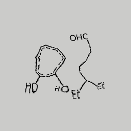 CCC(CC)CCC=O.Oc1ccccc1O